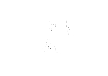 Cn1c(=O)n(C2CCC(=O)NC2=O)c2ccc(CCCN3CCN(CC4CCC(NC(=O)OC(C)(C)C)CC4)C(=O)C3)cc21